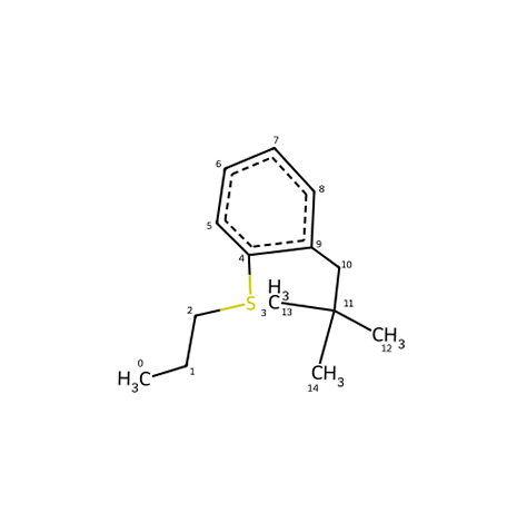 CCCSc1ccccc1CC(C)(C)C